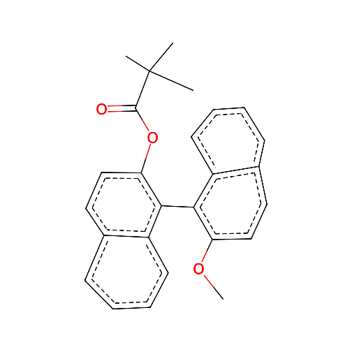 COc1ccc2ccccc2c1-c1c(OC(=O)C(C)(C)C)ccc2ccccc12